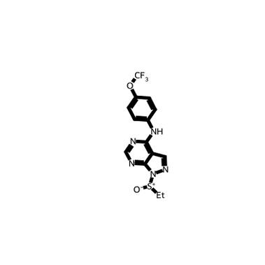 CC[S+]([O-])n1ncc2c(Nc3ccc(OC(F)(F)F)cc3)ncnc21